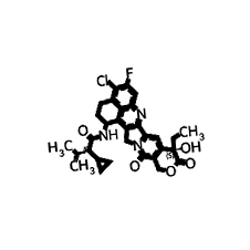 CC[C@@]1(O)C(=O)OCc2c1cc1n(c2=O)Cc2c-1nc1cc(F)c(Cl)c3c1c2C(NC(=O)[C@H](C(C)C)C1CC1)CC3